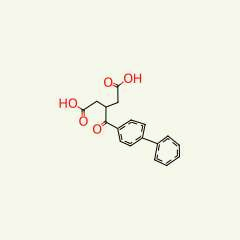 O=C(O)CC(CC(=O)O)C(=O)c1ccc(-c2ccccc2)cc1